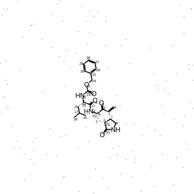 C=CC(=O)[C@H](C[C@@H]1CCNC1=O)NC(=O)[C@H](CC(C)C)NC(=O)OCc1ccccc1